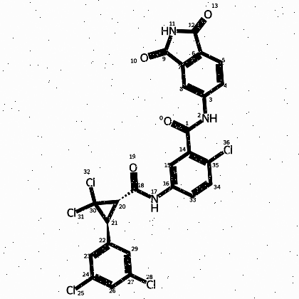 O=C(Nc1ccc2c(c1)C(=O)NC2=O)c1cc(NC(=O)[C@@H]2[C@@H](c3cc(Cl)cc(Cl)c3)C2(Cl)Cl)ccc1Cl